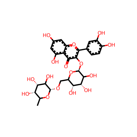 CC1O[C@@H](OCC2O[C@@H](Oc3c(-c4ccc(O)c(O)c4)oc4cc(O)cc(O)c4c3=O)C(O)[C@H](O)[C@@H]2O)C(O)[C@@H](O)[C@H]1O